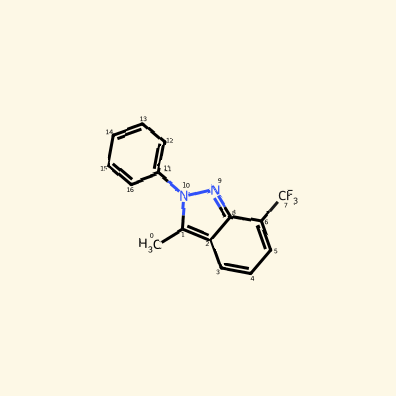 Cc1c2cccc(C(F)(F)F)c2nn1-c1ccccc1